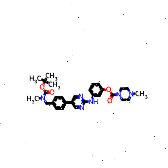 CN1CCN(C(=O)Oc2cccc(Nc3ncc(-c4ccc(CN(C)C(=O)OC(C)(C)C)cc4)cn3)c2)CC1